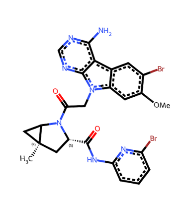 COc1cc2c(cc1Br)c1c(N)ncnc1n2CC(=O)N1C2C[C@]2(C)C[C@H]1C(=O)Nc1cccc(Br)n1